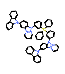 C1=CN2c3cc(-n4c5ccccc5c5ccccc54)ccc3N(c3cccc(S(c4ccccc4)(c4ccccc4)c4cccc(N5c6ccc(-n7c8ccccc8c8ccccc87)cc6N6C=CC=CN65)c4)c3)N2C=C1